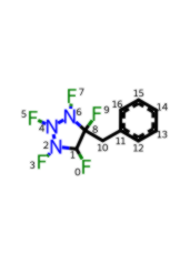 FC1N(F)N(F)N(F)C1(F)Cc1ccccc1